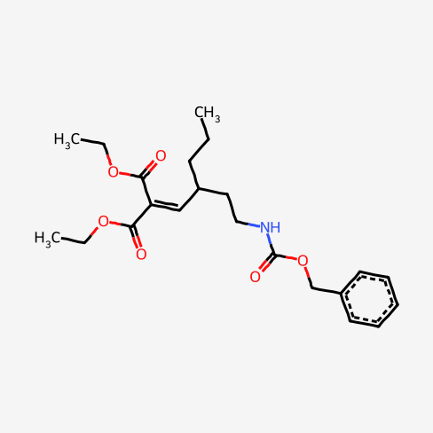 CCCC(C=C(C(=O)OCC)C(=O)OCC)CCNC(=O)OCc1ccccc1